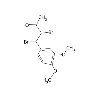 COc1ccc(C(Br)C(Br)C(C)=O)cc1OC